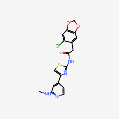 CNc1cc(-c2csc(NC(=O)Cc3cc4c(cc3Cl)OCO4)n2)ccn1